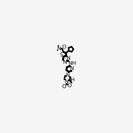 CN(C)C(=O)c1sc2cnc(Nc3ccc(N4CCN5C(=O)OC[C@@H]5C4)cn3)nc2c1C1CCCC1